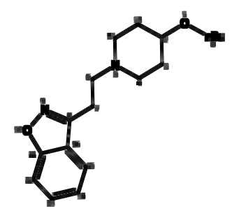 CCCCOC1CCN(CCc2noc3ccccc23)CC1